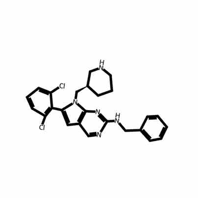 Clc1cccc(Cl)c1-c1cc2cnc(NCc3ccccc3)nc2n1C[C@@H]1CCCNC1